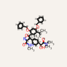 CNC(=O)c1noc(-c2cc(C(C)C)c(OCc3ccccc3)cc2OCc2ccccc2)c1-c1ccc(C(O)C(=O)N(C)C)cc1